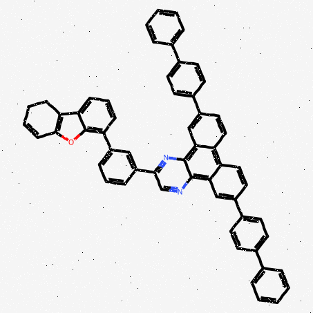 C1=Cc2oc3c(-c4cccc(-c5cnc6c7cc(-c8ccc(-c9ccccc9)cc8)ccc7c7ccc(-c8ccc(-c9ccccc9)cc8)cc7c6n5)c4)cccc3c2CC1